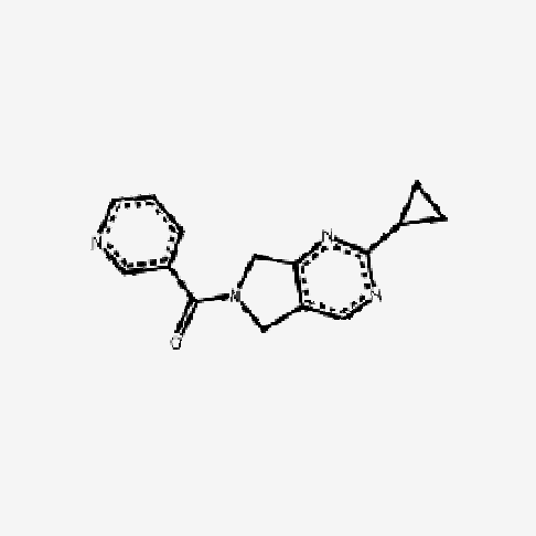 O=C(c1cccnc1)N1Cc2cnc(C3CC3)nc2C1